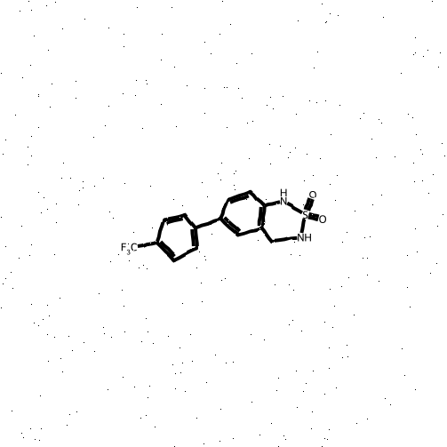 O=S1(=O)NCc2cc(-c3ccc(C(F)(F)F)cc3)ccc2N1